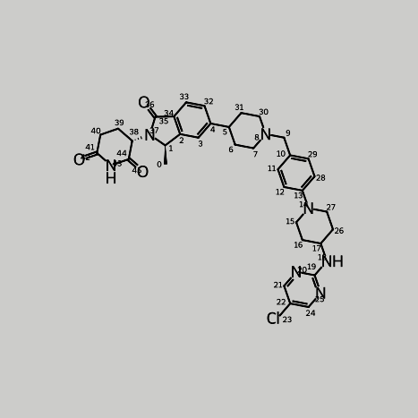 C[C@@H]1c2cc(C3CCN(Cc4ccc(N5CCC(Nc6ncc(Cl)cn6)CC5)cc4)CC3)ccc2C(=O)N1[C@H]1CCC(=O)NC1=O